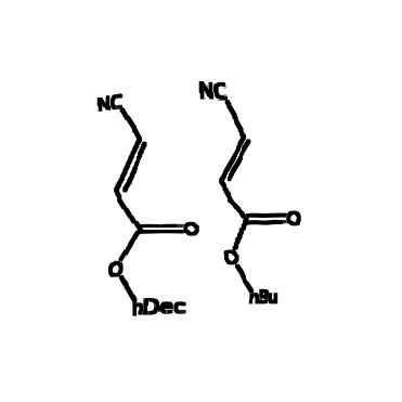 CCCCCCCCCCOC(=O)C=CC#N.CCCCOC(=O)C=CC#N